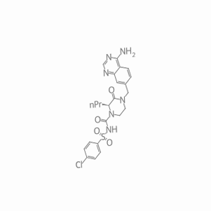 CCC[C@H]1C(=O)N(Cc2ccc3c(N)ncnc3c2)CCN1C(=O)NS(=O)(=O)c1ccc(Cl)cc1